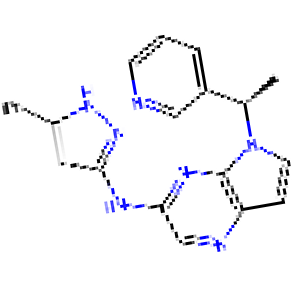 CC(C)c1cc(Nc2cnc3ccn([C@H](C)c4cccnc4)c3n2)n[nH]1